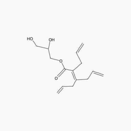 C=CCC(CC=C)=C(CC=C)C(=O)OCC(O)CO